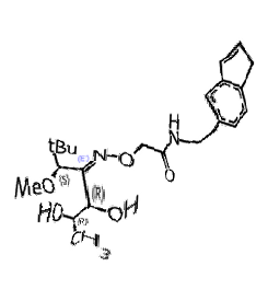 CO[C@H](/C(=N/OCC(=O)NCc1ccc2c(c1)C=CC2)[C@@H](O)[C@@H](C)O)C(C)(C)C